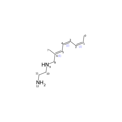 C\C=C/C=C\C=C(/C)CNCCN